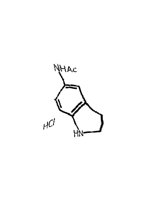 CC(=O)Nc1ccc2c(c1)CCN2.Cl